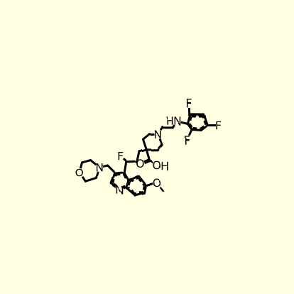 COc1ccc2ncc(CN3CCOCC3)c(C(F)CCC3(C(=O)O)CCN(CCNc4c(F)cc(F)cc4F)CC3)c2c1